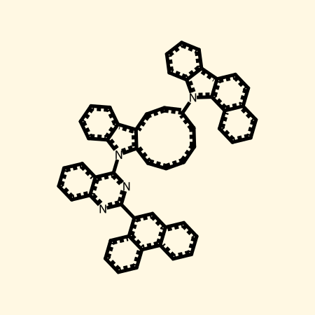 c1ccc(-n2c3ccccc3c3ccc4ccccc4c32)ccc2c3ccccc3n(-c3nc(-c4cc5ccccc5c5ccccc45)nc4ccccc34)c2cc1